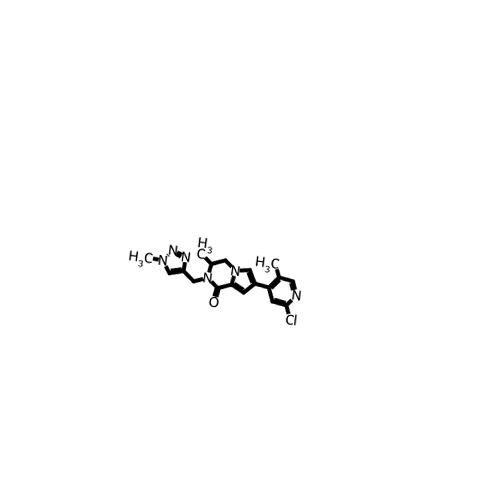 Cc1cnc(Cl)cc1-c1cc2n(c1)CC(C)N(Cc1cn(C)nn1)C2=O